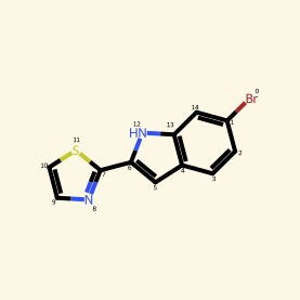 Brc1ccc2cc(-c3nccs3)[nH]c2c1